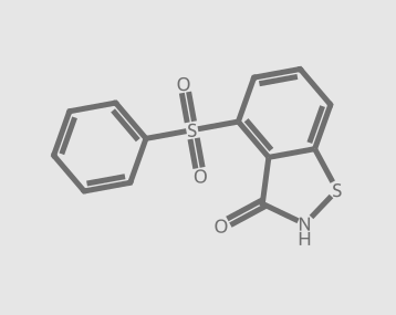 O=c1[nH]sc2cccc(S(=O)(=O)c3ccccc3)c12